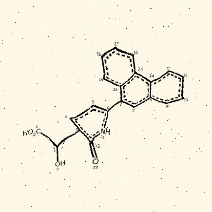 O=C(O)C(O)c1ccc(-c2cc3ccccc3c3ccccc23)[nH]c1=O